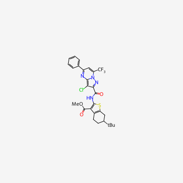 COC(=O)c1c(NC(=O)c2nn3c(C(F)(F)F)cc(-c4ccccc4)nc3c2Cl)sc2c1CCC(C(C)(C)C)C2